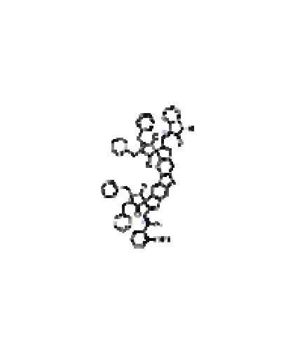 CC(=O)/C(=C\C1=Cc2cc3sc4cc5c(cc4c3cc2C1(C(=O)OCc1ccccc1)C(=O)OCc1ccccc1)C(C(=O)OCc1ccccc1)(C(=O)OCc1ccccc1)C(/C=C1\C(=O)C(=O)c2ccccc21)=C5)c1ccccc1C=O